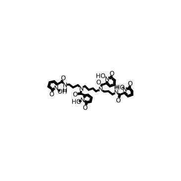 O=C(NCCCN(CCCCN(CCCNC(=O)c1cccc(=O)n1O)C(=O)c1cccc(=O)n1O)C(=O)c1cccc(=O)n1O)c1cccc(=O)n1O